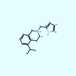 CC(C)c1cccc2c1CCN(Cc1cccs1)C2